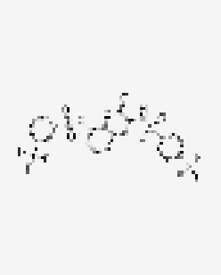 O=c1oc2c(OS(=O)(=O)c3cccc(C(F)(F)F)c3)cccc2cc1NS(=O)(=O)c1ccc(C(F)(F)F)cc1